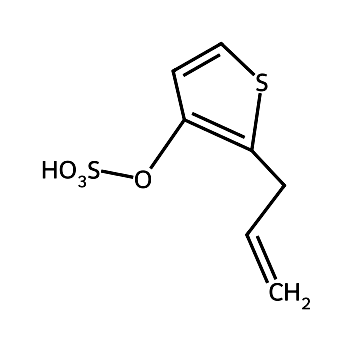 C=CCc1sccc1OS(=O)(=O)O